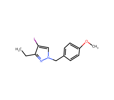 CCc1nn(Cc2ccc(OC)cc2)cc1I